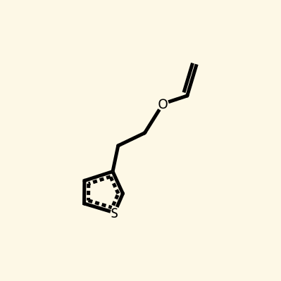 C=COCCc1ccsc1